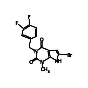 Cn1c(=O)n(Cc2ccc(F)c(F)c2)c(=O)c2cc(Br)[nH]c21